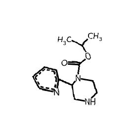 CC(C)OC(=O)N1CCNCC1c1ccccn1